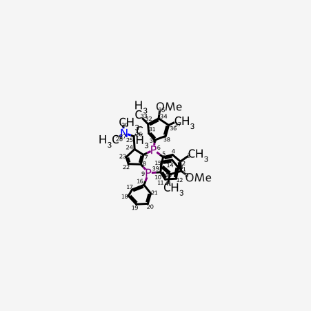 COc1c(C)cc(P(C2=C(P(c3ccccc3)c3ccccc3)C=CC2[C@@H](C)N(C)C)c2cc(C)c(OC)c(C)c2)cc1C